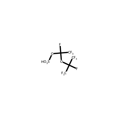 O=S(=O)(O)OC(F)(OC(F)(C(F)(F)F)C(F)(F)F)C(F)(F)F